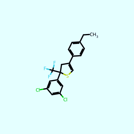 CCc1ccc(C2=CSC(c3cc(Cl)cc(Cl)c3)(C(F)(F)F)C2)cc1